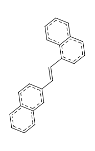 C(=Cc1cccc2ccccc12)c1ccc2ccccc2c1